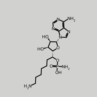 NCCCCCCC(OP(N)(=O)O)[C@H]1O[C@@H](n2cnc3c(N)ncnc32)[C@H](O)[C@@H]1O